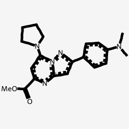 COC(=O)c1cc(N2CCCC2)n2nc(-c3ccc(N(C)C)cc3)cc2n1